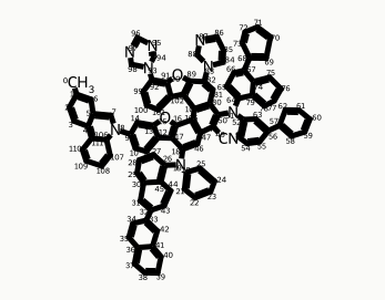 Cc1ccc2c(c1)=CN(c1ccc3c(c1)oc1c3c(N(c3ccccc3)c3cccc4cc(-c5ccc6ccccc6c5)ccc34)cc3c(C#N)c(N(c4cccc(-c5ccccc5)c4)c4ccc(-c5ccccc5)c5ccccc45)c4cc(N5C=CC=NC5)c5oc6c(N7C=NC=NC7)cccc6c5c4c31)C1C=CC=CC=21